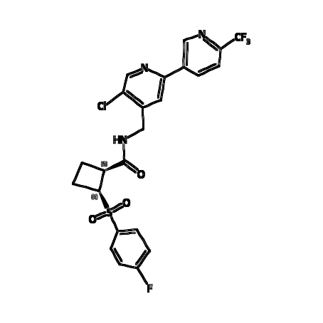 O=C(NCc1cc(-c2ccc(C(F)(F)F)nc2)ncc1Cl)[C@@H]1CC[C@@H]1S(=O)(=O)c1ccc(F)cc1